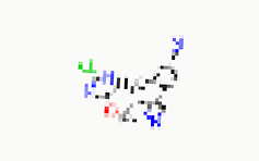 Cc1cc(C#N)ccc1-c1cnn2c1C[C@@H](Oc1cnc(Cl)nc1)C2